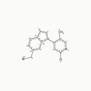 Cc1cnc(Cl)cc1-c1csc2ccc(CBr)cc12